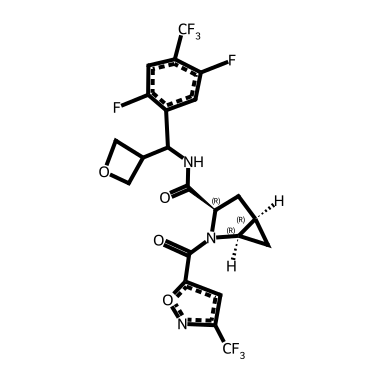 O=C(NC(c1cc(F)c(C(F)(F)F)cc1F)C1COC1)[C@H]1C[C@H]2C[C@H]2N1C(=O)c1cc(C(F)(F)F)no1